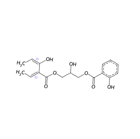 C/C=C(O)\C(=C/C)C(=O)OCC(O)COC(=O)c1ccccc1O